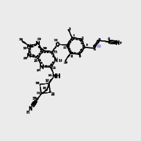 Cc1cc(/C=C/C#N)cc(C)c1Oc1nc(NC23CC(C#N)(C2)C3)nc2nn(C)nc12